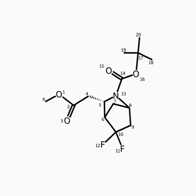 COC(=O)C[C@H]1C2CC(CC2(F)F)N1C(=O)OC(C)(C)C